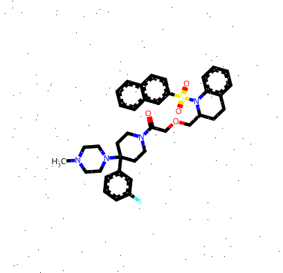 CN1CCN(C2(c3cccc(F)c3)CCN(C(=O)COCC3CCc4ccccc4N3S(=O)(=O)c3ccc4ccccc4c3)CC2)CC1